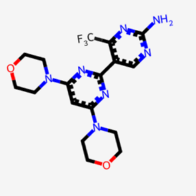 Nc1ncc(-c2nc(N3CCOCC3)cc(N3CCOCC3)n2)c(C(F)(F)F)n1